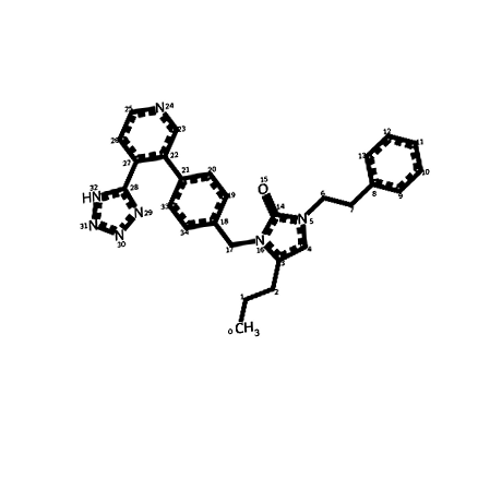 CCCc1cn(CCc2ccccc2)c(=O)n1Cc1ccc(-c2cnccc2-c2nnn[nH]2)cc1